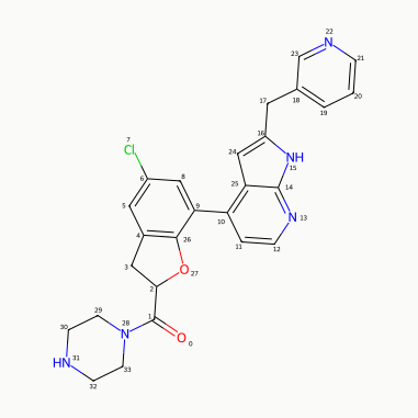 O=C(C1Cc2cc(Cl)cc(-c3ccnc4[nH]c(Cc5cccnc5)cc34)c2O1)N1CCNCC1